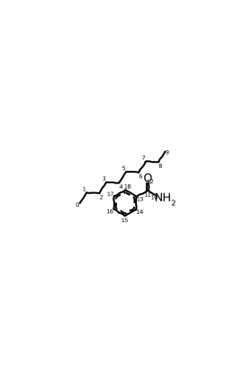 CCCCCCCCCC.NC(=O)c1ccccc1